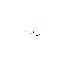 CC=CC(=O)CNCC